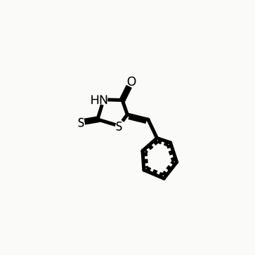 O=C1NC(=S)S/C1=C\c1ccccc1